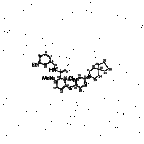 C=C(NCc1cccc(CC)c1)c1c(NC)ccc(Sc2cnc(N3CCC4(CCCC4)CC3)cn2)c1Cl